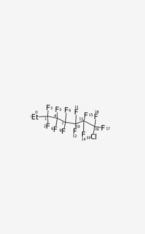 C[CH]C(F)(F)C(F)(F)C(F)(F)C(F)(F)C(F)(F)C(F)(F)Cl